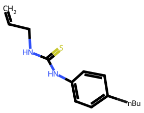 C=CCNC(=S)Nc1ccc(CCCC)cc1